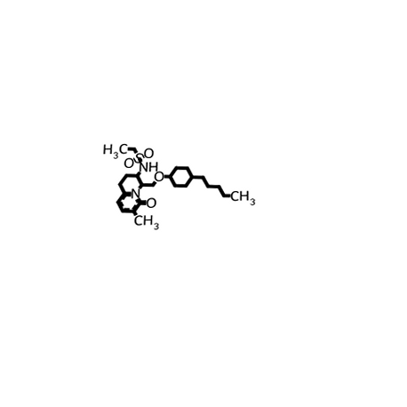 CCCCCC1CCC(OCC2C(NS(=O)(=O)CC)CCc3ccc(C)c(=O)n32)CC1